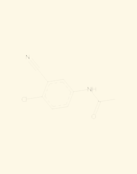 CC(=O)Nc1ccc(Cl)c(C#N)c1